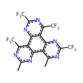 Cc1nc(C(F)(F)F)c2c(n1)c1c(C)nc(C(F)(F)F)nc1c1c(C(F)(F)F)nc(C(F)(F)F)nc21